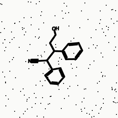 N#CC(c1ccccc1)C(CCO)c1ccccc1